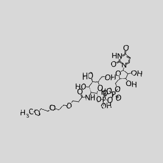 COCCOCCOCCC(=O)N[C@H]1C(O)[C@@H](O)C(CO)O[C@@H]1OP(=O)(O)OP(=O)(O)OCC1OC(n2ccc(=O)[nH]c2=O)C(O)C1O